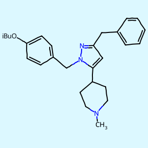 CC(C)COc1ccc(Cn2nc(Cc3ccccc3)cc2C2CCN(C)CC2)cc1